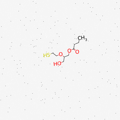 CCCC(=O)OCC(CO)OCCS